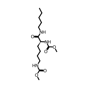 CCCCCNC(=O)[C@H](CCCCNC(=O)OC)NC(=O)OC